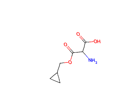 NC(C(=O)O)C(=O)OCC1CC1